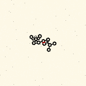 c1ccc(-c2cc(-c3ccccc3)cc(N(c3ccccc3)c3ccccc3-c3ccc(-c4ccc5c(c4)C4(c6ccccc6-5)c5ccc6ccccc6c5Oc5c4ccc4ccccc54)cc3)c2)cc1